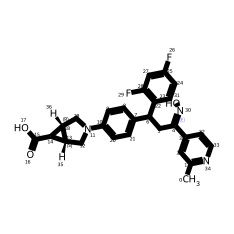 Cc1cc(/C(CC(c2ccc(N3C[C@@H]4C(C(=O)O)[C@@H]4C3)cc2)c2ccc(F)cc2F)=N/O)ccn1